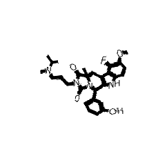 COc1ccc2[nH]c3c(c2c1F)CC1(C)C(=O)N(CCCN(C)C(C)C)C(=O)N1C3c1cccc(O)c1